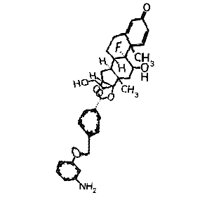 C[C@]12C=CC(=O)C=C1CC[C@H]1[C@@H]3C[C@H]4O[C@@H](c5ccc(COc6cccc(N)c6)cc5)O[C@@]4(C(=O)CO)[C@@]3(C)C[C@H](O)[C@@]12F